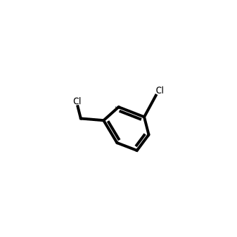 ClCc1[c]c(Cl)ccc1